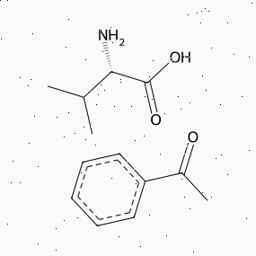 CC(=O)c1ccccc1.CC(C)[C@H](N)C(=O)O